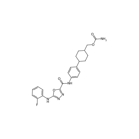 NC(=O)OCC1CCC(c2ccc(NC(=O)c3nnc(Nc4ccccc4F)o3)cc2)CC1